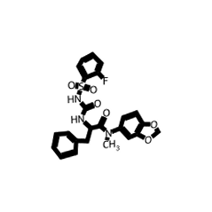 CN(C(=O)C(Cc1ccccc1)NC(=O)NS(=O)(=O)c1ccccc1F)c1ccc2c(c1)OCO2